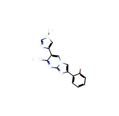 CCn1cnc(-c2cn3cc(-c4ccccc4O)nc3nc2N)c1